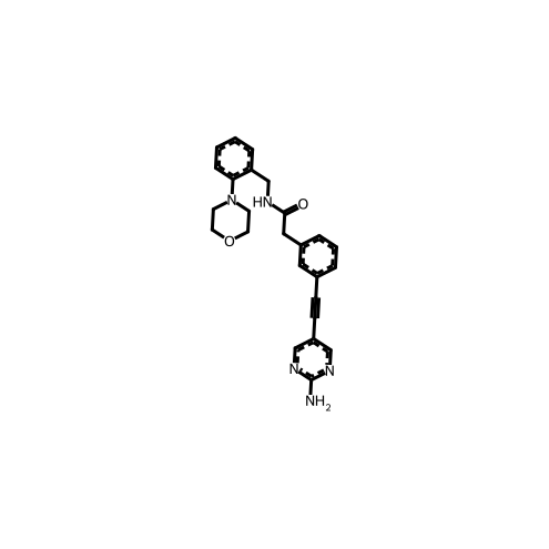 Nc1ncc(C#Cc2cccc(CC(=O)NCc3ccccc3N3CCOCC3)c2)cn1